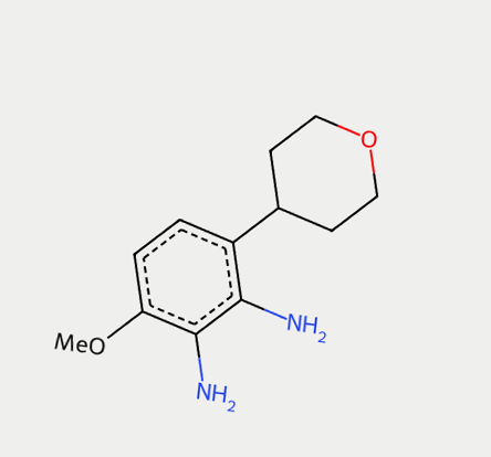 COc1ccc(C2CCOCC2)c(N)c1N